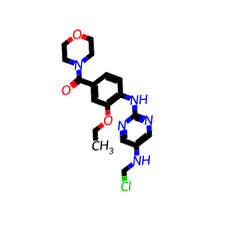 CCOc1cc(C(=O)N2CCOCC2)ccc1Nc1ncc(NCCl)cn1